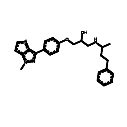 CC(CCc1ccccc1)NCC(O)COc1ccc(-c2nn(C)c3ccsc23)cc1